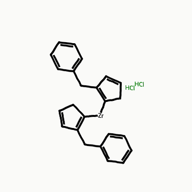 C1=CC(Cc2ccccc2)=[C]([Zr][C]2=C(Cc3ccccc3)C=CC2)C1.Cl.Cl